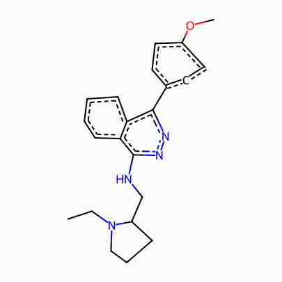 CCN1CCCC1CNc1nnc(-c2ccc(OC)cc2)c2ccccc12